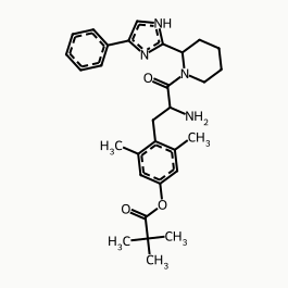 Cc1cc(OC(=O)C(C)(C)C)cc(C)c1CC(N)C(=O)N1CCCCC1c1nc(-c2ccccc2)c[nH]1